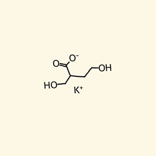 O=C([O-])C(CO)CCO.[K+]